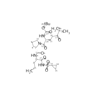 C=CCC(NC(=O)[C@@H]1CCCN1C(=O)[C@H](CCC(=O)C(=C)C)NC(=O)OC(C)(C)C)C(=O)NS(=O)(=O)C1CC1